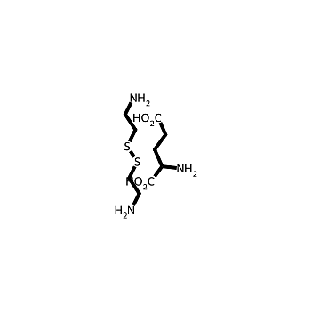 NC(CCC(=O)O)C(=O)O.NCCSSCCN